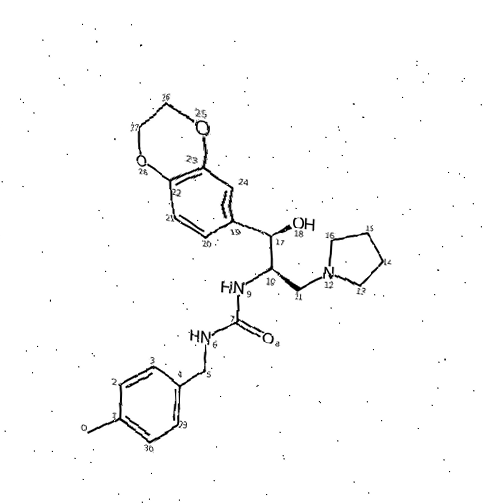 Cc1ccc(CNC(=O)N[C@H](CN2CCCC2)[C@H](O)c2ccc3c(c2)OCCO3)cc1